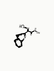 O=C(NO)/C(=N/O)c1ccc2ccccc2n1